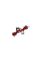 C[n+]1ccsc1/N=N/c1ccc(NCCOCCOCCNc2ccc(/N=N/c3scc[n+]3C)cc2)cc1.[Cl-].[Cl-]